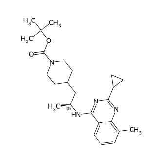 Cc1cccc2c(N[C@@H](C)CC3CCN(C(=O)OC(C)(C)C)CC3)nc(C3CC3)nc12